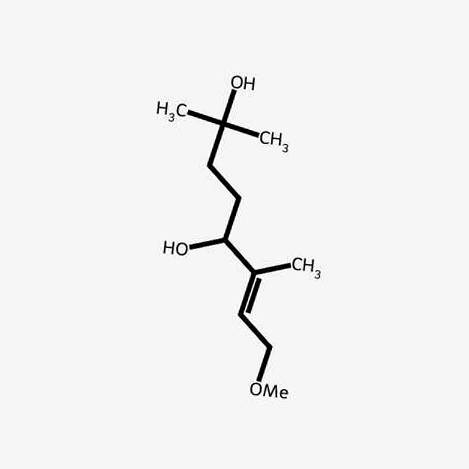 COC/C=C(\C)C(O)CCC(C)(C)O